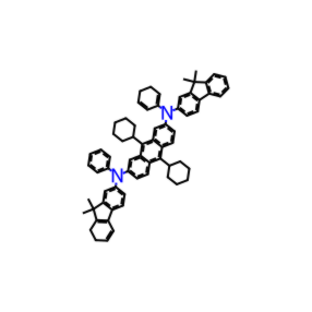 CC1(C)C2=C(C=CCC2)c2ccc(N(c3ccccc3)c3ccc4c(C5CCCCC5)c5ccc(N(C6=CCCC=C6)c6ccc7c(c6)C(C)(C)c6ccccc6-7)cc5c(C5CCCCC5)c4c3)cc21